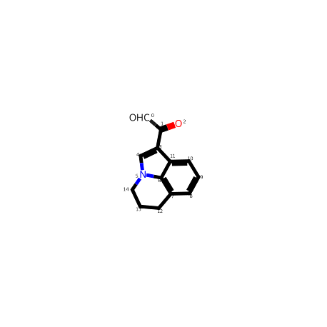 O=CC(=O)c1cn2c3c(cccc13)CCC2